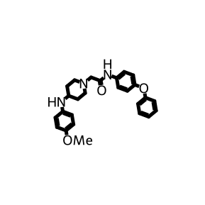 COc1ccc(NC2CCN(CC(=O)Nc3ccc(Oc4ccccc4)cc3)CC2)cc1